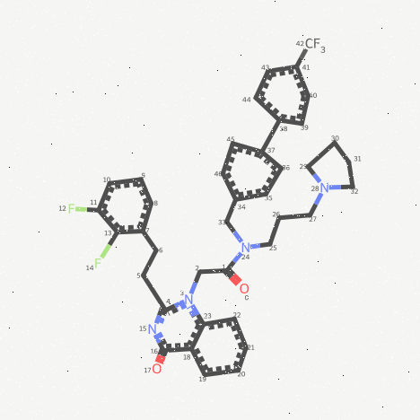 O=C(Cn1c(CCc2cccc(F)c2F)nc(=O)c2ccccc21)N(CCCN1CCCC1)Cc1ccc(-c2ccc(C(F)(F)F)cc2)cc1